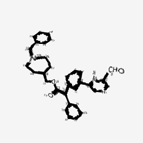 O=Cc1cncc(-c2cccc(C(C(=O)OCC3CCN(Cc4ccccc4)CC3)c3ccccc3)c2)n1